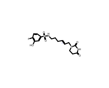 O=C1CCN(C/C=C/CCCNS(=O)(=O)c2ccc(F)c(O)c2)C(=O)N1